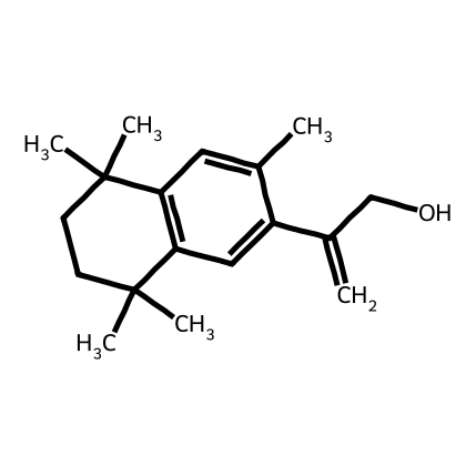 C=C(CO)c1cc2c(cc1C)C(C)(C)CCC2(C)C